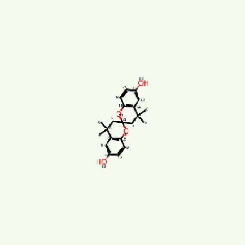 CC1(C)CC2(CC(C)(C)c3cc(O)ccc3O2)Oc2ccc(O)cc21